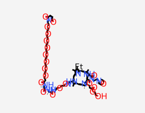 CCC1=C(C)c2cc3[nH]c(cc4nc(c5c6[nH]c(cc1n2)c(C)c6C(=O)N(CCN1CCOCC1)C5=O)[C@@H](CCC(=O)OCCO)[C@@H]4C)c(C)c3/C=N/OCCOCCNC(=O)[C@H](C)NC(=O)[C@H](C)NC(=O)CCOCCOCCOCCOCCOCCOCCOCCOCCN1C(=O)C=CC1=O